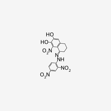 O=[N+]([O-])c1ccc(N/N=C2\CCCc3cc(O)c(O)c([N+](=O)[O-])c32)c([N+](=O)[O-])c1